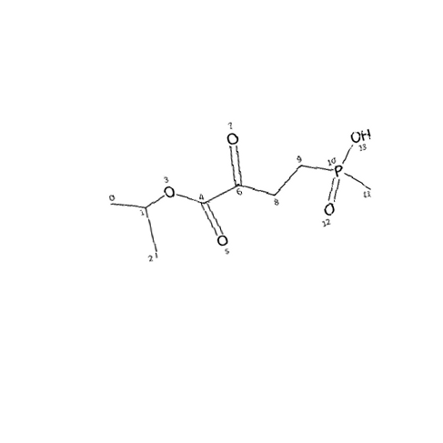 CC(C)OC(=O)C(=O)CCP(C)(=O)O